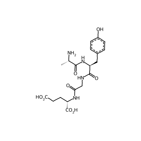 C[C@H](N)C(=O)N[C@@H](Cc1ccc(O)cc1)C(=O)NCC(=O)N[C@@H](CCC(=O)O)C(=O)O